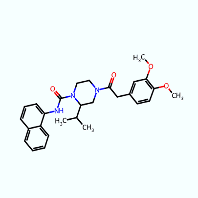 COc1ccc(CC(=O)N2CCN(C(=O)Nc3cccc4ccccc34)C(C(C)C)C2)cc1OC